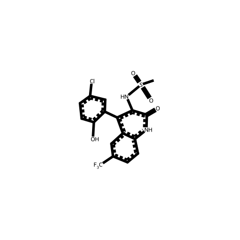 CS(=O)(=O)Nc1c(-c2cc(Cl)ccc2O)c2cc(C(F)(F)F)ccc2[nH]c1=O